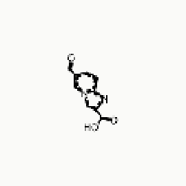 O=Cc1ccc2nc(C(=O)O)cn2c1